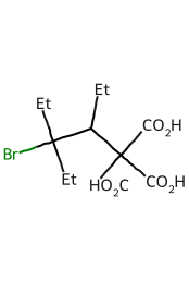 CCC(C(Br)(CC)CC)C(C(=O)O)(C(=O)O)C(=O)O